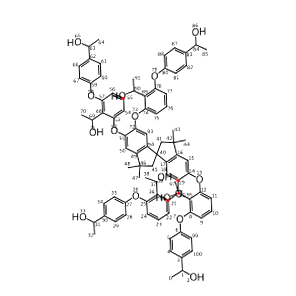 CC(O)c1ccc(Oc2cccc(Oc3cc4c(cc3Oc3cccc(Oc5ccc(C(C)O)cc5)c3C(C)O)C3(CC4(C)C)CC(C)(C)c4cc(Oc5cccc(Oc6ccc(C(C)O)cc6)c5C(C)O)c(Oc5cccc(Oc6ccc(C(C)O)cc6)c5C(C)O)cc43)c2C(C)O)cc1